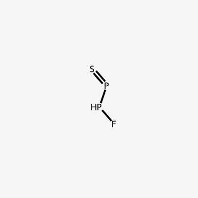 FPP=S